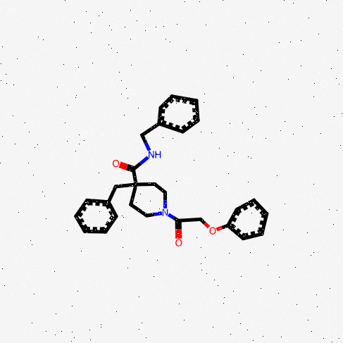 O=C(COc1ccccc1)N1CCC(Cc2ccccc2)(C(=O)NCc2ccccc2)CC1